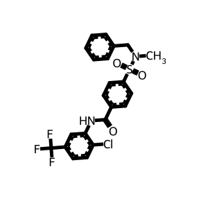 CN(Cc1ccccc1)S(=O)(=O)c1ccc(C(=O)Nc2cc(C(F)(F)F)ccc2Cl)cc1